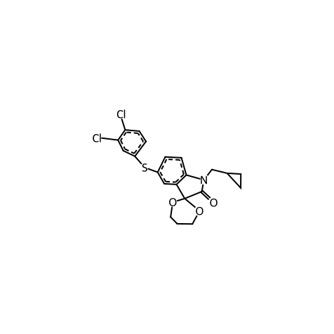 O=C1N(CC2CC2)c2ccc(Sc3ccc(Cl)c(Cl)c3)cc2C12OCCCO2